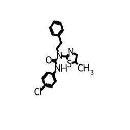 CC1CN=C(N(CCc2ccccc2)C(=O)Nc2ccc(Cl)cc2)S1